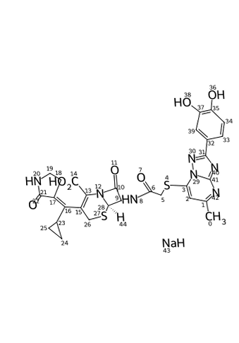 Cc1cc(SCC(=O)N[C@@H]2C(=O)N3C(C(=O)O)=C(C(=C4CCNC4=O)C4CC4)CS[C@H]23)n2nc(-c3ccc(O)c(O)c3)nc2n1.[NaH]